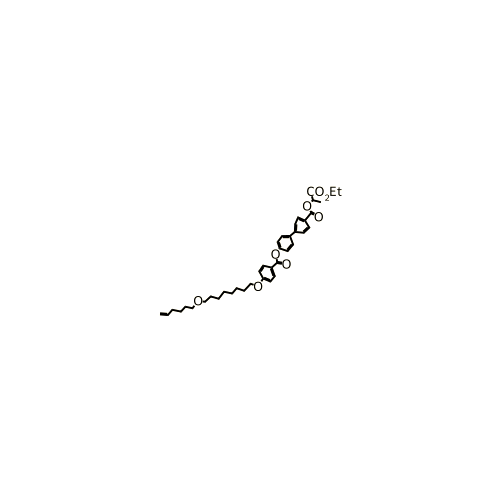 C=CCCCCOCCCCCCCCOc1ccc(C(=O)Oc2ccc(-c3ccc(C(=O)OC(C)C(=O)OCC)cc3)cc2)cc1